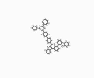 C1=CCC=C(c2nc(C3=CCCC=C3)nc(-c3ccc(-c4ccc(-c5nc6c(-c7cccc8c7oc7ccccc78)cccc6c6c7c(sc56)=CCCC=7)cc4)cc3)n2)C=C1